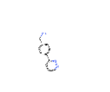 [NH]Cc1ccc(-c2cccnn2)cc1